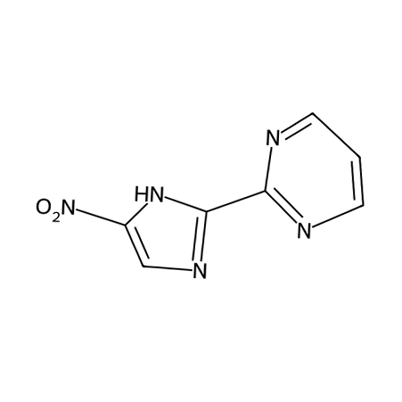 O=[N+]([O-])c1cnc(-c2ncccn2)[nH]1